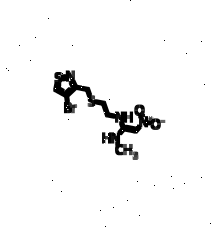 CN/C(=C/[N+](=O)[O-])NCCSCc1nscc1Br